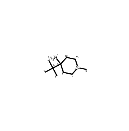 CN1CCC(N)(C(C)(C)C)CC1